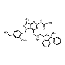 CCC[C@@H](CCO[Si](c1ccccc1)(c1ccccc1)C(C)(C)C)Nc1nc(NC(=O)OC)nc2c(C)nn(Cc3ncc(CO)cc3OC)c12